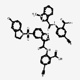 Cn1nc(C(=O)[AsH]c2ccc(C#N)cc2C(=O)O)c2ccccc21.N#Cc1ccc(NC(=O)c2noc3ccc(S(=O)(=O)N4CCc5cc(Cl)ccc54)cc23)c(C(=O)O)c1